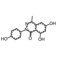 Cc1nn(-c2ccc(O)cc2)c(=O)c2c(O)cc(O)cc12